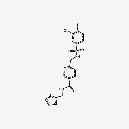 O=C(NCc1cccs1)c1ccc(CNS(=O)(=O)c2ccc(F)c(Cl)c2)cn1